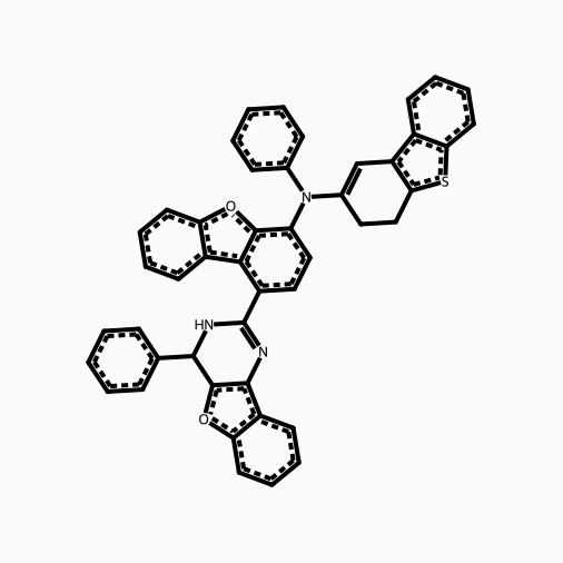 C1=C(N(c2ccccc2)c2ccc(C3=Nc4c(oc5ccccc45)C(c4ccccc4)N3)c3c2oc2ccccc23)CCc2sc3ccccc3c21